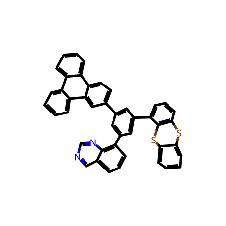 c1ccc2c(c1)Sc1cccc(-c3cc(-c4ccc5c6ccccc6c6ccccc6c5c4)cc(-c4cccc5cncnc45)c3)c1S2